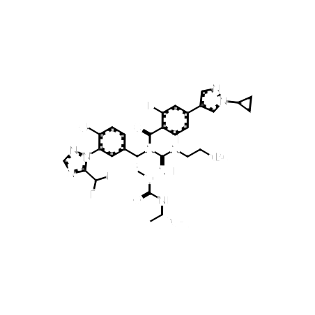 C[C@H](NC(=O)OC[C@H](c1ccc(Cl)c(-n2ncnc2C(F)F)c1)N(C(=N)NCCC(C)(C)C)C(=O)c1ccc(-c2cnn(C3CC3)c2)cc1F)C(F)(F)F